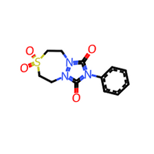 O=c1n(-c2ccccc2)c(=O)n2n1CCS(=O)(=O)CC2